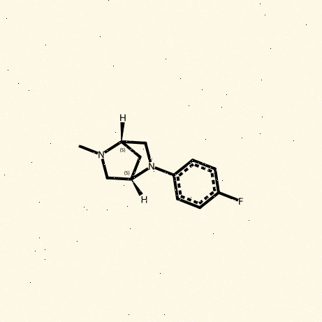 CN1C[C@@H]2C[C@H]1CN2c1ccc(F)cc1